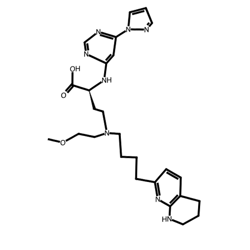 COCCN(CCCCc1ccc2c(n1)NCCC2)CC[C@H](Nc1cc(-n2cccn2)ncn1)C(=O)O